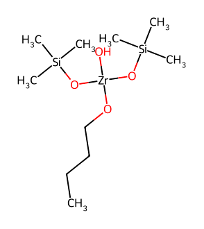 CCCC[O][Zr]([OH])([O][Si](C)(C)C)[O][Si](C)(C)C